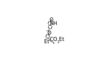 C=CCC(CC)(C(=O)OCC)c1cccc(OC(C)c2ccc3[nH]c(=O)ccc3c2)c1